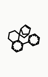 C1=CC2CC1CC21CCCc2cccc(-c3ccccc3)c21